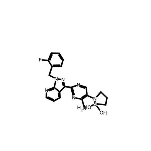 Nc1nc(-c2nn(Cc3ccccc3F)c3ncccc23)ncc1N1CCCS1(O)O